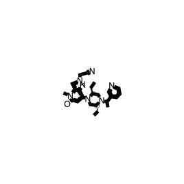 CC[C@H]1CN(C(C)c2cccnc2)[C@H](CC)CN1c1cc(=O)n(C)c2cn(CC#N)nc12